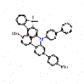 CC(C)(C)c1ccc(-c2ccc(-c3ccc(C(C)(C)C)cc3)c(N(c3ccc(-c4ccccc4)cc3)c3ccc4c(c3)C(C)(C)c3ccccc3-4)c2)cc1